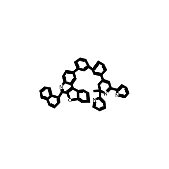 CC1(c2ccccn2)CC(c2cccc(-c3cccc(-c4ccc5nc(-c6cccc7ccccc67)c6oc7ccccc7c6c5c4)c3)c2)=CC(c2ccccn2)=N1